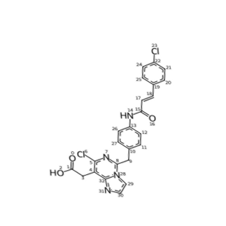 O=C(O)Cc1c(Cl)nc(Cc2ccc(NC(=O)/C=C/c3ccc(Cl)cc3)cc2)n2ccnc12